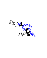 CCOC(=O)N1CC(/C(N)=N/c2cnc3[nH]ccc3c2C)C1